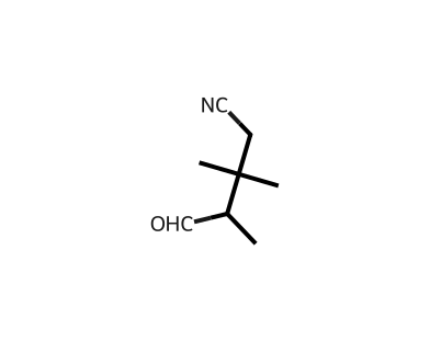 CC(C=O)C(C)(C)CC#N